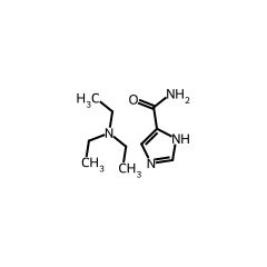 CCN(CC)CC.NC(=O)c1cnc[nH]1